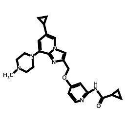 CN1CCN(c2cc(C3CC3)cn3cc(COc4ccnc(NC(=O)C5CC5)c4)nc23)CC1